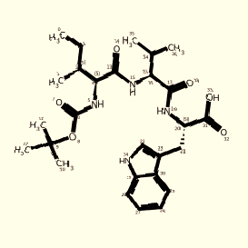 CC[C@H](C)[C@H](NC(=O)OC(C)(C)C)C(=O)N[C@H](C(=O)N[C@@H](Cc1c[nH]c2ccccc12)C(=O)O)C(C)C